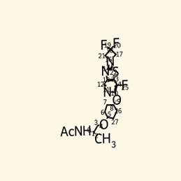 CC(=O)N[C@@H](C)CO[C@H]1CC[C@H](Oc2ncc3nc(N4CC(F)(F)C4)sc3c2F)CC1